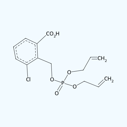 C=CCOP(=O)(OCC=C)OCc1c(Cl)cccc1C(=O)O